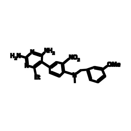 CCc1nc(N)nc(N)c1-c1ccc(N(C)Cc2cccc(OC)c2)c([N+](=O)[O-])c1